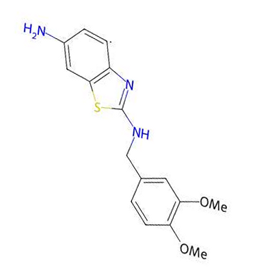 COc1ccc(CNc2nc3[c]cc(N)cc3s2)cc1OC